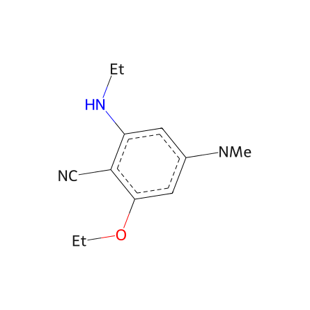 CCNc1cc(NC)cc(OCC)c1C#N